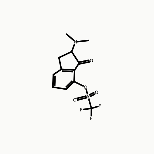 CN(C)C1Cc2cccc(OS(=O)(=O)C(F)(F)F)c2C1=O